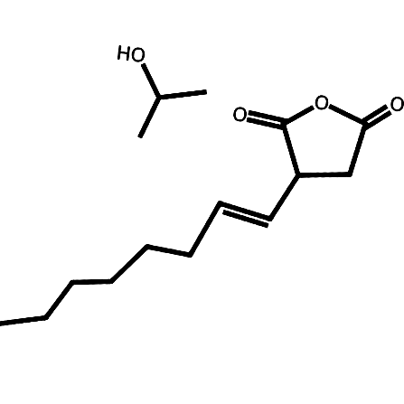 CC(C)O.CCCCCCC=CC1CC(=O)OC1=O